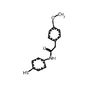 COc1ccc(CC(=O)Nc2ccc(S)cc2)cc1